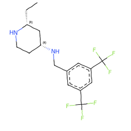 CC[C@@H]1C[C@H](NCc2cc(C(F)(F)F)cc(C(F)(F)F)c2)CCN1